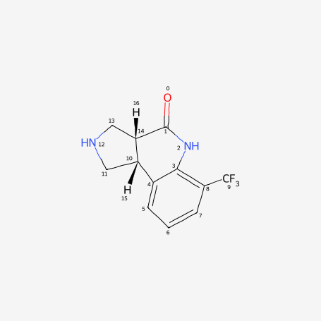 O=C1Nc2c(cccc2C(F)(F)F)[C@@H]2CNC[C@H]12